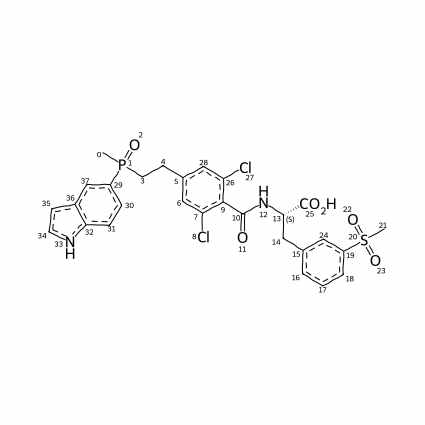 CP(=O)(CCc1cc(Cl)c(C(=O)N[C@@H](Cc2cccc(S(C)(=O)=O)c2)C(=O)O)c(Cl)c1)c1ccc2[nH]ccc2c1